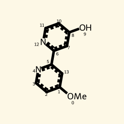 COc1ccnc(-c2cc(O)ccn2)c1